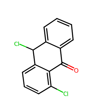 O=C1c2ccccc2C(Cl)c2cccc(Cl)c21